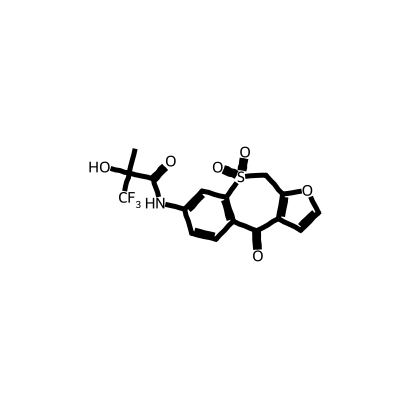 CC(O)(C(=O)Nc1ccc2c(c1)S(=O)(=O)Cc1occc1C2=O)C(F)(F)F